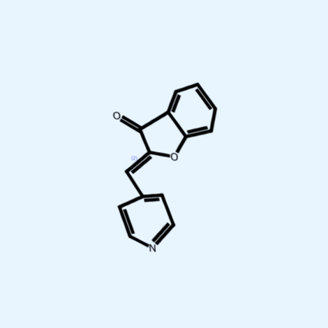 O=C1/C(=C/c2ccncc2)Oc2ccccc21